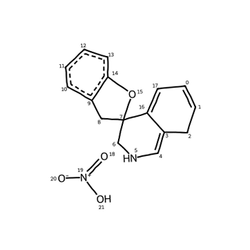 C1=CCC2=CNCC3(Cc4ccccc4O3)C2=C1.O=[N+]([O-])O